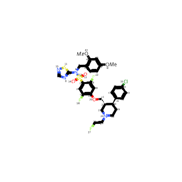 COc1ccc(CN(c2ncns2)S(=O)(=O)c2cc(F)c(OC[C@H]3CN(CCF)CC[C@@H]3c3ccc(Cl)cc3)cc2F)c(OC)c1